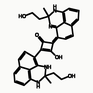 CC1(CCO)N=c2/c(=C3\C(=O)C(c4ccc5cccc6c5c4NC(C)(CCO)N6)=C3O)ccc3cccc(c23)N1